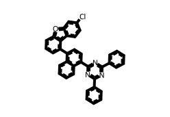 Clc1ccc2c(c1)oc1cccc(-c3ccc(-c4nc(-c5ccccc5)nc(-c5ccccc5)n4)c4ccccc34)c12